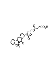 O=C(O)CCC(=O)OCC1CN(c2ccc3cc(-c4ccccc4C(F)(F)F)[nH]c(=O)c3c2)C(=O)O1